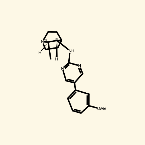 COc1cccc(-c2cnc(N[C@H]3C4CCN(CC4)[C@@H]3C)nc2)c1